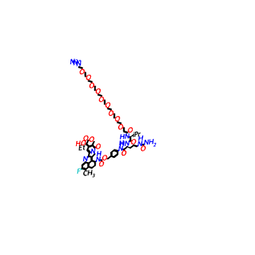 CC[C@@]1(O)C(=O)OCc2c1cc1n(c2=O)Cc2c-1nc1cc(F)c(C)c3c1c2[C@@H](NC(=O)OCc1ccc(NC(=O)[C@H](CCCNC(N)=O)NC(=O)[C@@H](NC(=O)CCOCCOCCOCCOCCOCCOCCOCCOCCOCCN=[N+]=[N-])C(C)C)cc1)CC3